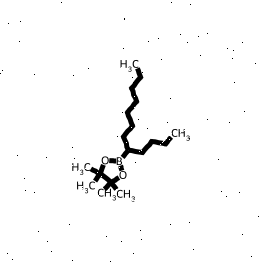 CCCCCCCC(CCCC)B1OC(C)(C)C(C)(C)O1